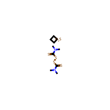 C1CCC1.CN(C)C(=S)SSC(=S)N(C)C.S